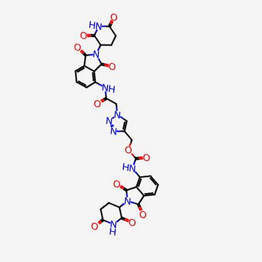 O=C1CCC(N2C(=O)c3cccc(NC(=O)Cn4cc(COC(=O)Nc5cccc6c5C(=O)N(C5CCC(=O)NC5=O)C6=O)nn4)c3C2=O)C(=O)N1